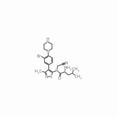 Cc1nsc(N(CC#N)C(=O)[C@@H](N)CC(C)C)c1-c1ccc(N2CCNCC2)c(Br)c1